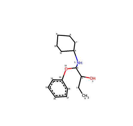 CCC(O)C(NC1CCCCC1)Oc1ccccc1